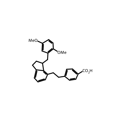 COc1ccc(OC)c(CC2CCc3cccc(CCc4ccc(C(=O)O)cc4)c32)c1